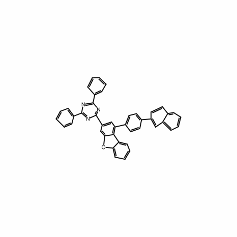 c1ccc(-c2nc(-c3ccccc3)nc(-c3cc(-c4ccc(-c5ccc6ccccc6c5)cc4)c4c(c3)oc3ccccc34)n2)cc1